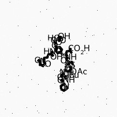 CC[C@H](C)C(NC(=O)[C@H]1CCCCN1C)C(=O)N(C)[C@H](C[C@@H](OC(C)=O)c1nc(C(=O)N[C@@H](Cc2ccc(OC(=O)OP(=O)(O)O)c(NC(O)CCCN3C(=O)C=CC3=O)c2)CC(C)C(=O)O)cs1)C(C)C